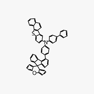 c1ccc(-c2ccc(N(c3ccc(-c4cccc5c4-c4ccccc4C54c5ccccc5Oc5ccccc54)cc3)c3ccc4sc5c6ccccc6ccc5c4c3)cc2)cc1